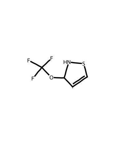 FC(F)(F)OC1[C]=CSN1